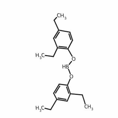 CCc1ccc(OBOc2ccc(CC)cc2CC)c(CC)c1